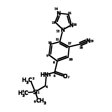 C[Si](C)(C)CNC(=O)c1ccc(-n2cncn2)c(C#N)c1